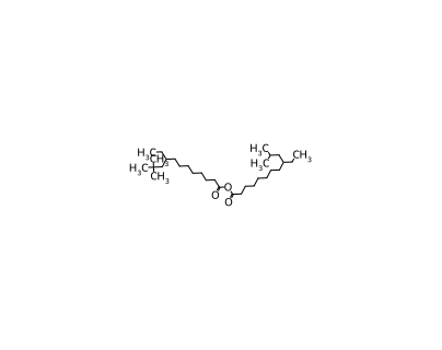 CCC(CCCCCCCC(=O)OC(=O)CCCCCCCC(CC)CC(C)(C)C)CC(C)C